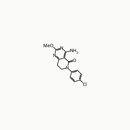 COc1nc(N)c2c(n1)CCN(c1ccc(Cl)cc1)C2=O